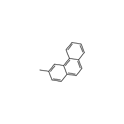 Cc1[c]cc2ccc3ccccc3c2c1